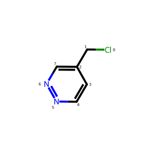 ClCc1ccnnc1